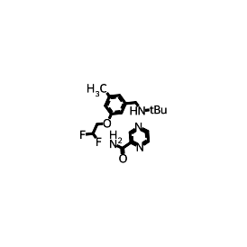 Cc1cc(CNC(C)(C)C)cc(OCC(F)F)c1.NC(=O)c1cnccn1